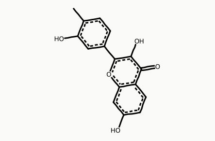 Cc1ccc(-c2oc3cc(O)ccc3c(=O)c2O)cc1O